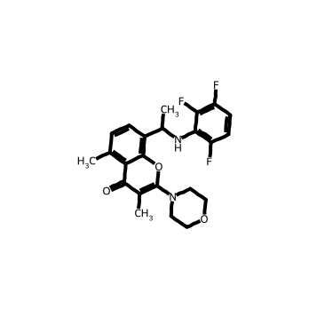 Cc1c(N2CCOCC2)oc2c(C(C)Nc3c(F)ccc(F)c3F)ccc(C)c2c1=O